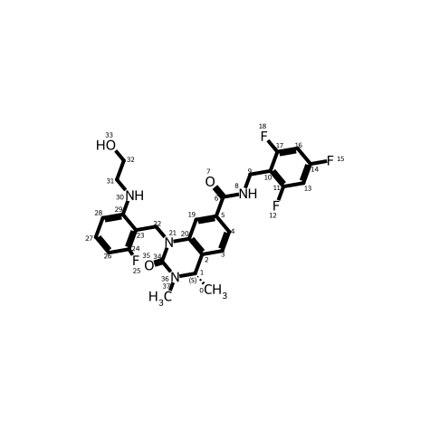 C[C@H]1c2ccc(C(=O)NCc3c(F)cc(F)cc3F)cc2N(Cc2c(F)cccc2NCCO)C(=O)N1C